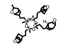 CC1OC2CC1CC2CC[Si]1(C)O[Si](C)(CCC2CC34CC(O3)C2C4)O[Si](C)(CCC2CC3C[C@@H]2C2OC32)O[Si](C)(CCC2CC34CC(O3)C2C4)O1